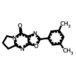 Cc1cc(C)cc(-c2nc3c(=O)n4c(nc3o2)CCC4)c1